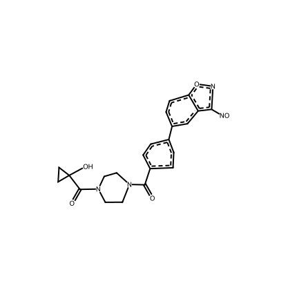 O=Nc1noc2ccc(-c3ccc(C(=O)N4CCN(C(=O)C5(O)CC5)CC4)cc3)cc12